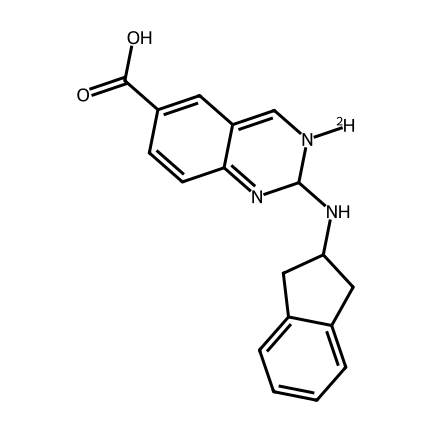 [2H]N1C=c2cc(C(=O)O)ccc2=NC1NC1Cc2ccccc2C1